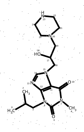 CC(C)Cn1c(=O)n(C)c(=O)c2c1ncn2CC(O)CN1CCNCC1